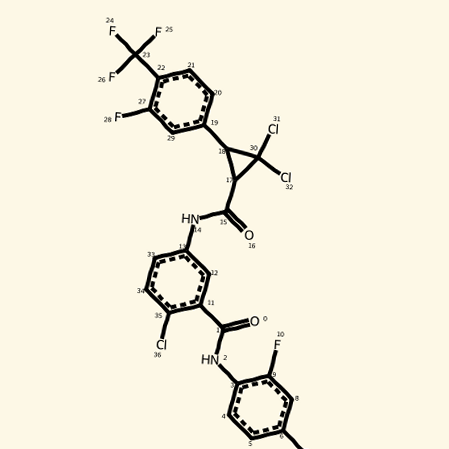 O=C(Nc1ccc(F)cc1F)c1cc(NC(=O)C2C(c3ccc(C(F)(F)F)c(F)c3)C2(Cl)Cl)ccc1Cl